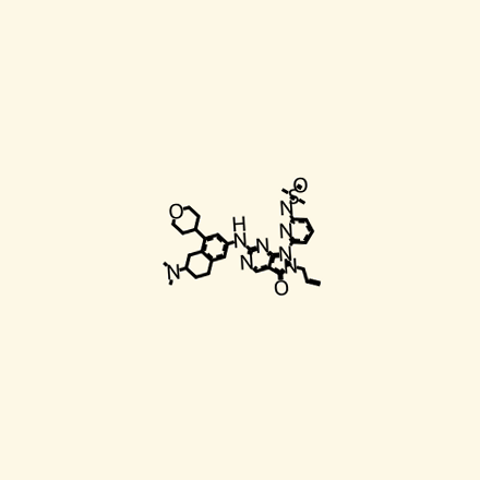 C=CCn1c(=O)c2cnc(Nc3cc4c(c(C5CCOCC5)c3)CC(N(C)C)CC4)nc2n1-c1cccc(N=S(C)(C)=O)n1